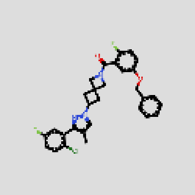 Cc1cn(C2CC3(C2)CN(C(=O)c2cc(OCc4ccccc4)ccc2F)C3)nc1-c1cc(F)ccc1Cl